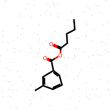 CCCCC(=O)OC(=O)c1cccc(C)c1